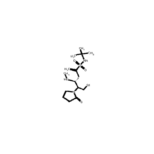 C=C(C[C@@H](NC)C(CS)N1CCCC1=O)S(=O)(=O)NC(C)(C)C